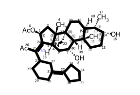 CC(=O)O[C@H]1C[C@@]2(C)[C@@H](C[C@@H](O)[C@H]3[C@@]4(C)CC[C@@H](O)[C@@H](C)[C@@H]4CC[C@@]32CN)/C1=C(/C(C)=O)C1CCCC(=C2CCCC2)C1